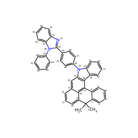 CC1(C)c2ccccc2-c2c3c1cccc3cc1c2c2ccccc2n1-c1ccc(-c2nc3ccccc3n2-c2ccccc2)cc1